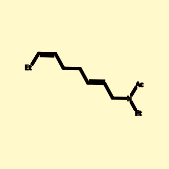 CC/C=C\CC/C=C/CN(CC)C(C)=O